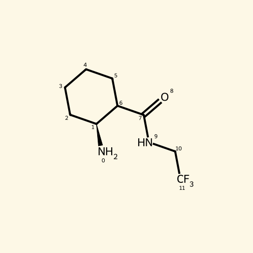 N[C@H]1CCCCC1C(=O)NCC(F)(F)F